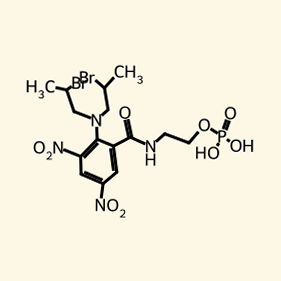 CC(Br)CN(CC(C)Br)c1c(C(=O)NCCOP(=O)(O)O)cc([N+](=O)[O-])cc1[N+](=O)[O-]